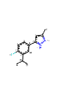 Cc1cc(-c2ccc(F)c(C(C)C)c2)[nH]n1